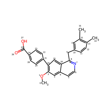 COc1cc2ccnc(Cc3ccc(C)c(C)c3)c2cc1-c1ccc(C(=O)O)cc1